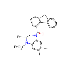 CCOC(=O)N1c2cc(C)c(C)cc2N(C(=O)c2cccc3c2-c2ccccc2C3)CC1CC